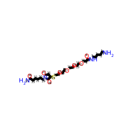 NCCCCCNC(=O)CCOCCOCCOCCOCCSC1CC(=O)N(CCCCCC(N)=O)C1=O